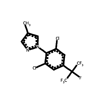 Cc1cnn(-c2c(Cl)cc(C(F)(C(F)(F)F)C(F)(F)F)cc2Cl)c1